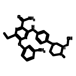 CCc1nc(C(N)=O)c(Nc2ccc(N3CCN(C)[C@H](CO)C3)cc2)nc1Oc1cccc(N)c1